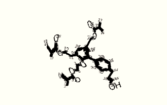 C=C(C)C(=O)OCCOc1c(CCOC(=O)C(=C)C)cc(COC(=O)C(=C)C)cc1-c1ccc(CCCO)cc1